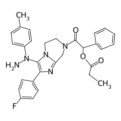 CCC(=O)OC(C(=O)N1CCn2c(nc(-c3ccc(F)cc3)c2N(N)c2ccc(C)cc2)C1)c1ccccc1